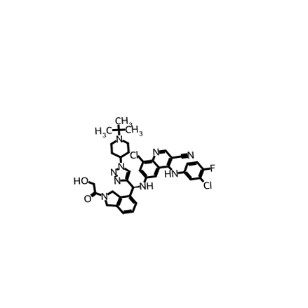 CC(C)(C)N1CCC(n2cc([C@@H](Nc3cc(Cl)c4ncc(C#N)c(Nc5ccc(F)c(Cl)c5)c4c3)c3cccc4c3CN(C(=O)CO)C4)nn2)CC1